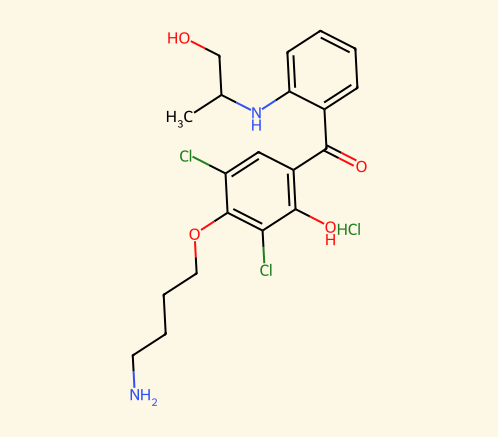 CC(CO)Nc1ccccc1C(=O)c1cc(Cl)c(OCCCCN)c(Cl)c1O.Cl